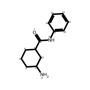 NC1CCCC(C(=O)Nc2ccccc2)C1